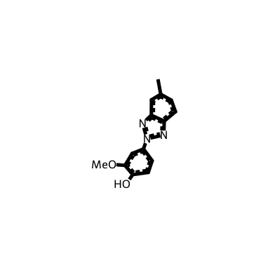 COc1cc(-n2nc3ccc(C)cc3n2)ccc1O